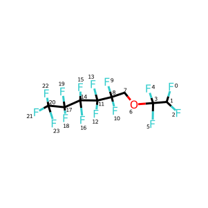 FC(F)C(F)(F)OCC(F)(F)C(F)(F)C(F)(F)C(F)(F)C(F)(F)F